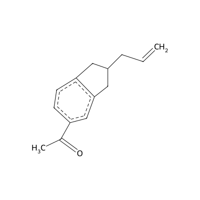 C=CCC1Cc2ccc(C(C)=O)cc2C1